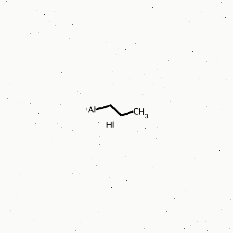 CC[CH2][Al].I